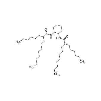 CCCCCCCCC(CCCCCC)C(=O)NC1CCCCC1NC(=O)C(CCCCCC)CCCCCCCC